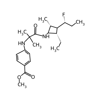 CC[C@@H]1C(NC(=O)C(C)(C)Nc2ccc(C(=O)OC)cc2)[C@H](C)C1[C@H](F)CC